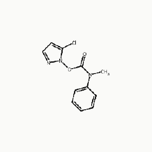 CN(C(=O)On1nccc1Cl)c1ccccc1